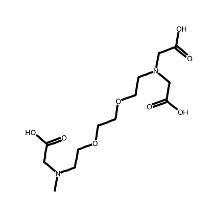 CN(CCOCCOCCN(CC(=O)O)CC(=O)O)CC(=O)O